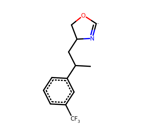 CC(CC1CO[C]=N1)c1cccc(C(F)(F)F)c1